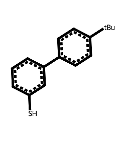 CC(C)(C)c1ccc(-c2cccc(S)c2)cc1